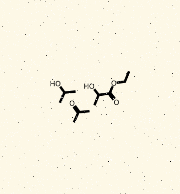 CC(C)=O.CC(C)O.CCOC(=O)C(C)O